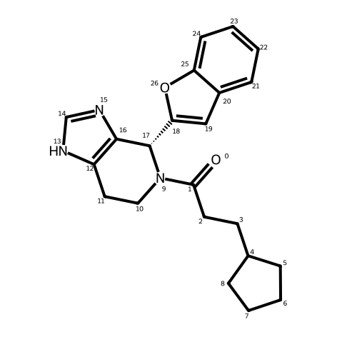 O=C(CCC1CCCC1)N1CCc2[nH]cnc2[C@@H]1c1cc2ccccc2o1